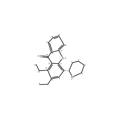 C1CCOCC1.CCc1ccc2sc3ccccc3c(=O)c2c1CC